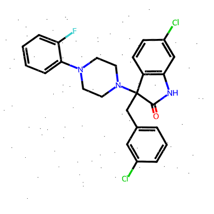 O=C1Nc2cc(Cl)ccc2C1(Cc1cccc(Cl)c1)N1CCN(c2ccccc2F)CC1